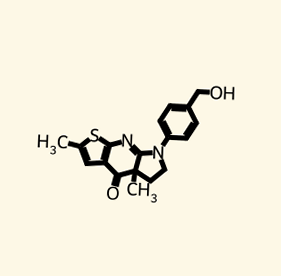 Cc1cc2c(s1)N=C1N(c3ccc(CO)cc3)CCC1(C)C2=O